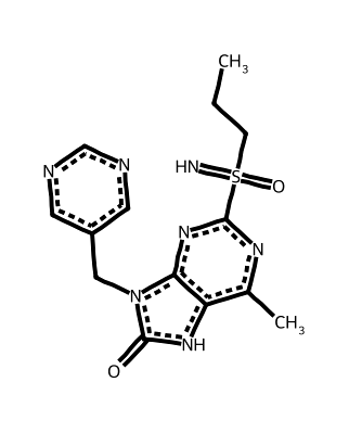 CCCS(=N)(=O)c1nc(C)c2[nH]c(=O)n(Cc3cncnc3)c2n1